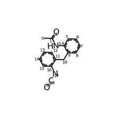 CC(=O)Nc1ccccc1Cc1ccccc1N=C=O